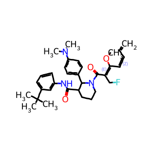 C=C/C=C\C(OC)=C(/CF)C(=O)N1CCCC(C(=O)Nc2cccc(C(C)(C)C)c2)C1c1ccc(N(C)C)cc1